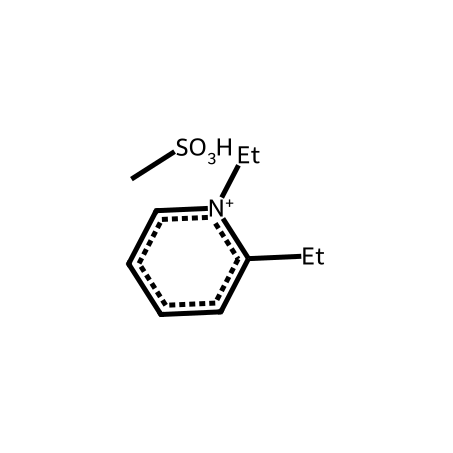 CCc1cccc[n+]1CC.CS(=O)(=O)O